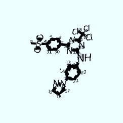 CS(=O)(=O)c1ccc(-c2nc(Nc3ccc(-n4cccn4)cc3)nc(C(Cl)(Cl)Cl)n2)cc1